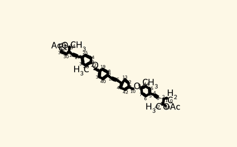 C=C[C@@H](C#Cc1ccc(OCc2ccc(C#Cc3ccc(COc4ccc(C#CC(/C=C\CC)C(C)OC(C)=O)cc4C)cc3)cc2)c(C)c1)C(C)OC(C)=O